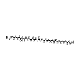 CCCCCCC(O)CCCCCCCCCCC(=O)OCCCCCCCCCCCCCCCCCCCl